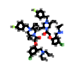 CC1CN(C(=O)COc2ccc(Cl)cc2CNC2CC2)C(C)CN1Cc1ccc(F)cc1.CCN(CC)Cc1cc(Cl)ccc1OCC(=O)N1CC(C)N(Cc2ccc(F)cc2)CC1C